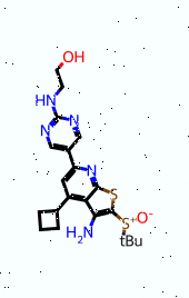 CC(C)(C)[S+]([O-])c1sc2nc(-c3cnc(NCCO)nc3)cc(C3CCC3)c2c1N